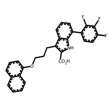 O=C(O)c1[nH]c2c(-c3ccc(F)c(F)c3F)cccc2c1CCCOc1cccc2ccccc12